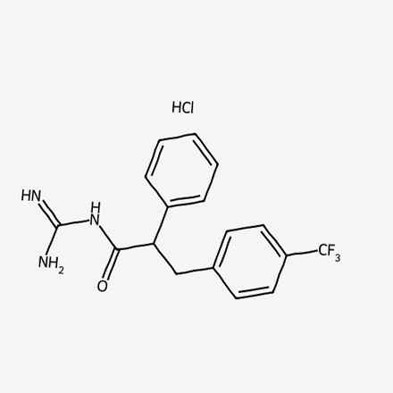 Cl.N=C(N)NC(=O)C(Cc1ccc(C(F)(F)F)cc1)c1ccccc1